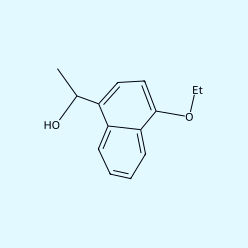 CCOc1ccc(C(C)O)c2ccccc12